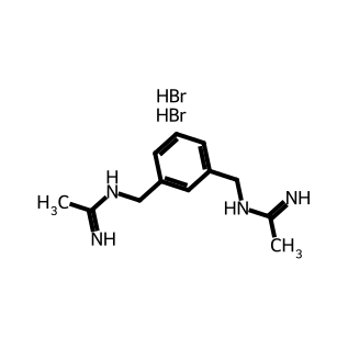 Br.Br.CC(=N)NCc1cccc(CNC(C)=N)c1